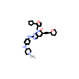 CN1CCC(Nc2ccc(Nc3ncc4cc(C#CC5CCCCO5)c(=O)n(Cc5ccoc5C5CCCC5)c4n3)cc2)CC1